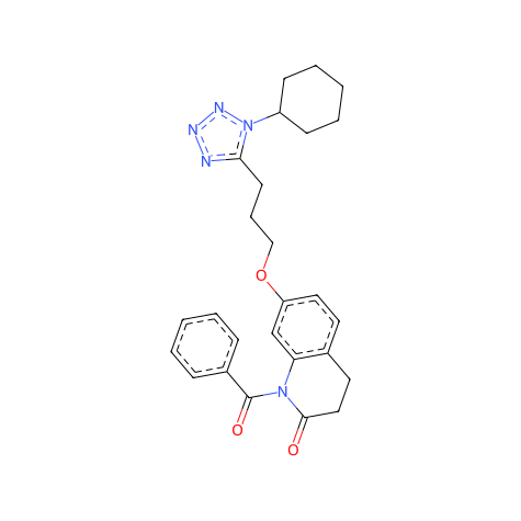 O=C1CCc2ccc(OCCCc3nnnn3C3CCCCC3)cc2N1C(=O)c1ccccc1